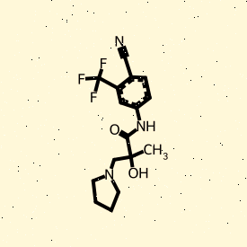 CC(O)(CN1CCCC1)C(=O)Nc1ccc(C#N)c(C(F)(F)F)c1